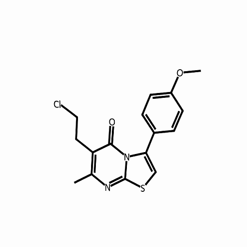 COc1ccc(-c2csc3nc(C)c(CCCl)c(=O)n23)cc1